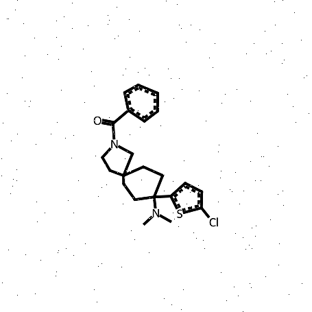 CN(C)C1(c2ccc(Cl)s2)CCC2(CCN(C(=O)c3ccccc3)C2)CC1